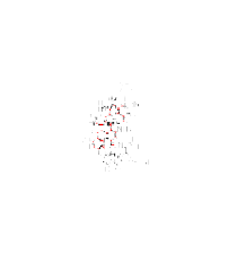 CC[C@H](C)[C@H](NC(=O)CNC(=O)[C@@H](NC(=O)[C@H](CCCCN)NC(=O)[C@@H](N)[C@@H](C)O)[C@@H](C)CC)C(=O)N[C@@H](CC(N)=O)C(=O)NCC(=O)N[C@@H](Cc1ccccc1)C(=O)NCC(=O)N[C@@H](CCCCN)C(=O)N[C@H](C(=O)NCC(=O)N[C@@H](CCCCN)C(=O)N[C@@H](CC(C)C)C(=O)N[C@H](C(=O)N[C@@H](CC(C)C)C(=O)N[C@@H](CCCCN)C(=O)O)C(C)C)[C@@H](C)CC